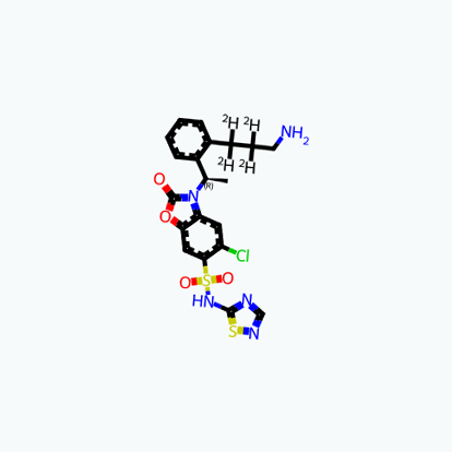 [2H]C([2H])(CN)C([2H])([2H])c1ccccc1[C@@H](C)n1c(=O)oc2cc(S(=O)(=O)Nc3ncns3)c(Cl)cc21